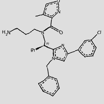 Cc1conc1C(=O)N(CCCN)[C@@H](c1nc(-c2cccc(Cl)c2)cn1Cc1ccccc1)C(C)C